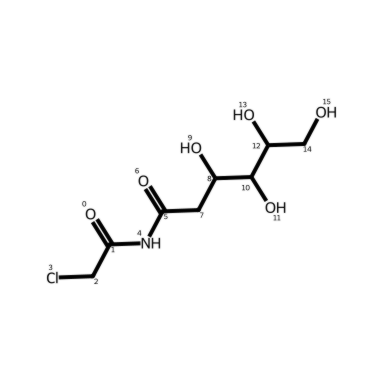 O=C(CCl)NC(=O)CC(O)C(O)C(O)CO